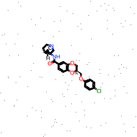 O=C(N[C@H]1CN2CCC1CC2)c1ccc2c(c1)OC[C@@H](COc1ccc(Cl)cc1)O2